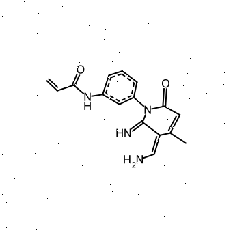 C=CC(=O)Nc1cccc(N2C(=N)/C(=C\N)C(C)=CC2=O)c1